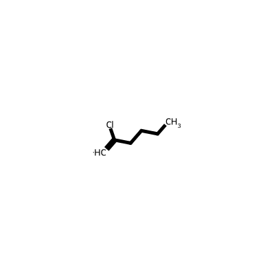 [CH]=C(Cl)CCCC